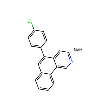 Clc1ccc(-c2cc3ccccc3c3cnccc23)cc1.[NaH]